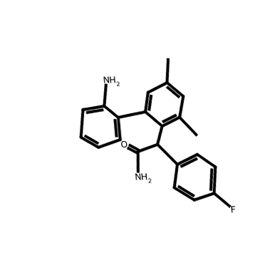 Cc1cc(C)c(C(C(N)=O)c2ccc(F)cc2)c(-c2ccccc2N)c1